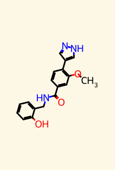 COc1cc(C(=O)NCc2ccccc2O)ccc1-c1cn[nH]c1